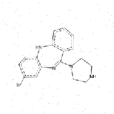 Brc1ccc2c(c1)N=C(N1CCNCC1)c1ccccc1N2